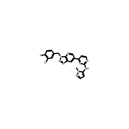 Cn1nccc1Nc1nccc(-c2cnc3c(c2)nnn3Cc2ccc(F)c(Cl)c2)n1